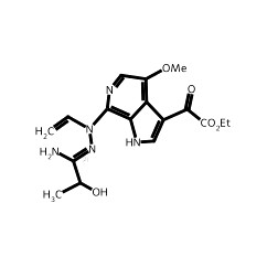 C=CN(/N=C(\N)C(C)O)c1ncc(OC)c2c(C(=O)C(=O)OCC)c[nH]c12